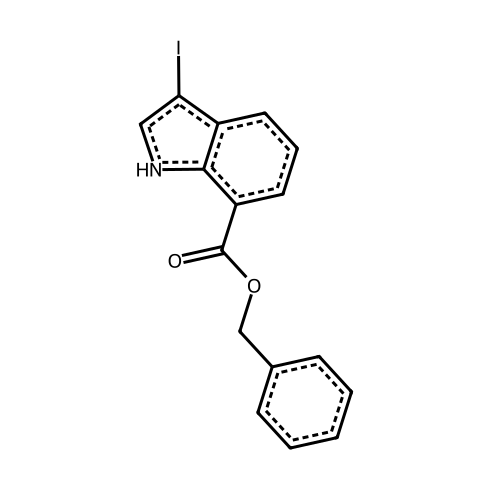 O=C(OCc1ccccc1)c1cccc2c(I)c[nH]c12